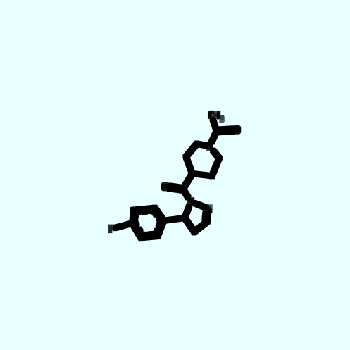 CC(=O)N1CCC(C(=O)N2N=CCC2c2ccc(F)cc2)CC1